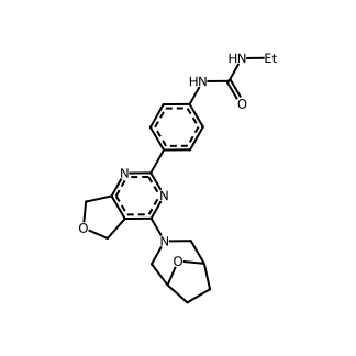 CCNC(=O)Nc1ccc(-c2nc3c(c(N4CC5CCC(C4)O5)n2)COC3)cc1